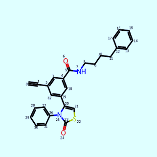 C#Cc1cc(C(=O)NCCCCc2ccccc2)cc(-c2csc(=O)n2-c2ccccc2)c1